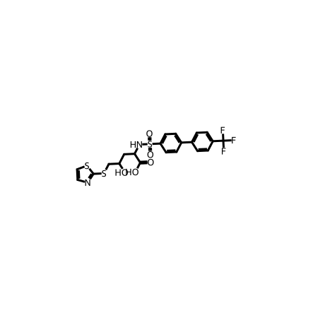 O=C(O)C(CC(O)CSc1nccs1)NS(=O)(=O)c1ccc(-c2ccc(C(F)(F)F)cc2)cc1